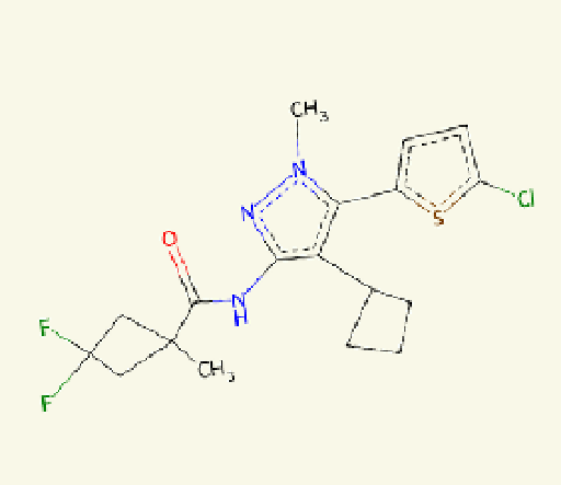 Cn1nc(NC(=O)C2(C)CC(F)(F)C2)c(C2CCC2)c1-c1ccc(Cl)s1